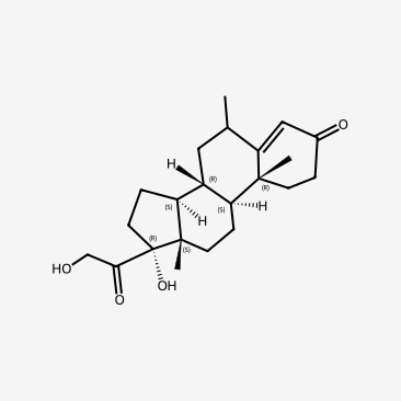 CC1C[C@@H]2[C@H](CC[C@@]3(C)[C@H]2CC[C@]3(O)C(=O)CO)[C@@]2(C)CCC(=O)C=C12